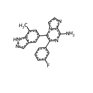 Cc1cc(-c2c(-c3cccc(F)c3)nc(N)c3nccn23)cc2cn[nH]c12